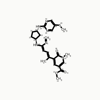 C=N/C(=C\C=C(/C)c1cc(C(=O)OC)cn(C)c1=O)N[C@H]1CC[C@H](Nc2ncc(SC)cn2)C1